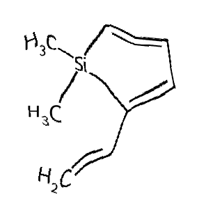 C=CC1=CC=C[Si]1(C)C